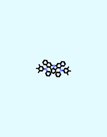 Cc1cc(N(c2ccccc2)c2c3ccccc3cc3c2c2cccc4c5c(N(c6ccccc6)c6cc(C)c(C)c(C)c6)c6ccccc6cc5n3c24)cc(C)c1C